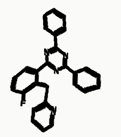 Fc1cccc(-c2nc(-c3ccccc3)nc(-c3ccccc3)n2)c1Cc1ccccn1